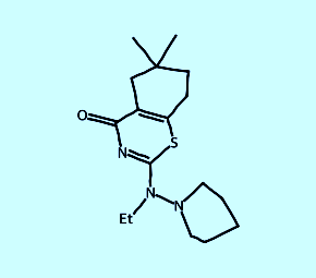 CCN(c1nc(=O)c2c(s1)CCC(C)(C)C2)N1CCCCC1